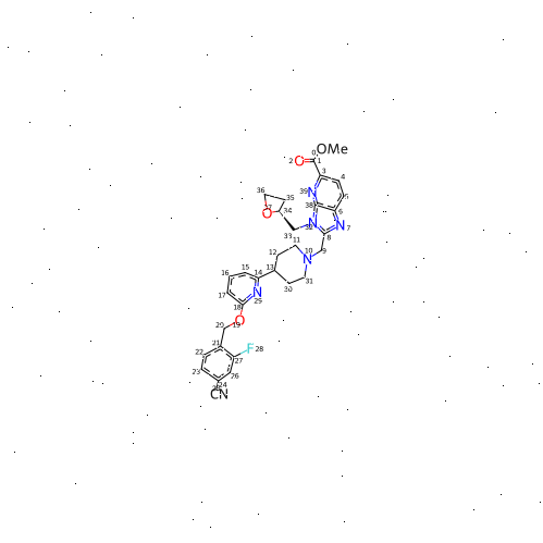 COC(=O)c1ccc2nc(CN3CCC(c4cccc(OCc5ccc(C#N)cc5F)n4)CC3)n(C[C@@H]3CCO3)c2n1